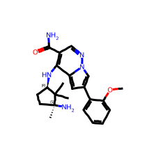 COc1ccccc1-c1cc2c(N[C@@H]3CC[C@](C)(N)C3(C)C)c(C(N)=O)cnn2c1